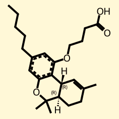 CCCCCc1cc(OCCCC(=O)O)c2c(c1)OC(C)(C)[C@@H]1CCC(C)=C[C@@H]21